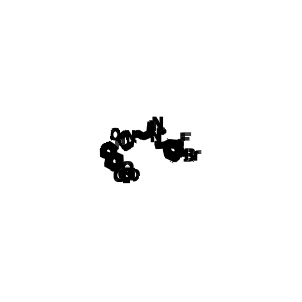 CS(=O)(=O)Oc1ccc2cccc(N3CCN(CCc4cncn4Cc4ccc(Br)c(F)c4)CC3=O)c2c1